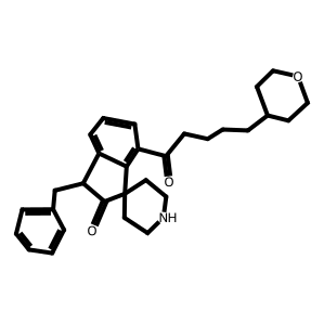 O=C(CCCCC1CCOCC1)c1cccc2c1C1(CCNCC1)C(=O)C2Cc1ccccc1